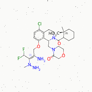 CN(N)/C(=C(\N)COc1ccc(Cl)c2c1C(CN1CCOCC1=O)N(C(=O)C1CCCC[C@]1(C)C(=O)O)CC2)C(F)F